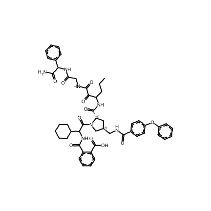 CCCC(NC(=O)[C@@H]1C[C@@H](CNC(=O)c2ccc(Oc3ccccc3)cc2)CN1C(=O)C(NC(=O)c1ccccc1C(=O)O)C1CCCCC1)C(=O)C(=O)NCC(=O)NC(C(N)=O)c1ccccc1